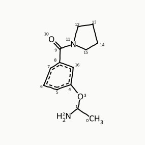 CC(N)Oc1cccc(C(=O)N2CCCC2)c1